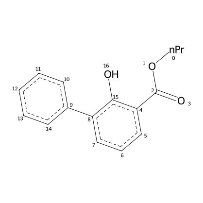 CCCOC(=O)c1cccc(-c2ccccc2)c1O